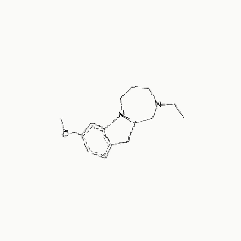 CCN1CCCN2c3cc(OC)ccc3CC2C1